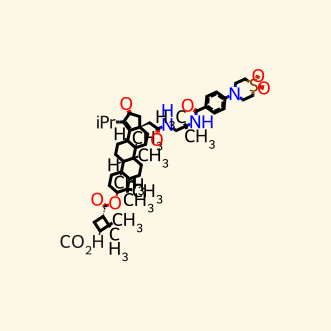 CC(C)C1=C2[C@H]3CC[C@@H]4[C@@]5(C)CC[C@H](OC(=O)[C@H]6C[C@@H](C(=O)O)C6(C)C)C(C)(C)[C@@H]5CC[C@@]4(C)[C@]3(C)CC[C@@]2(CC(=O)NCC(C)(C)NC(=O)c2ccc(N3CCS(=O)(=O)CC3)cc2)CC1=O